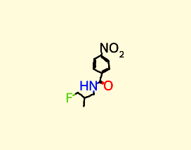 CC(CF)CNC(=O)c1ccc([N+](=O)[O-])cc1